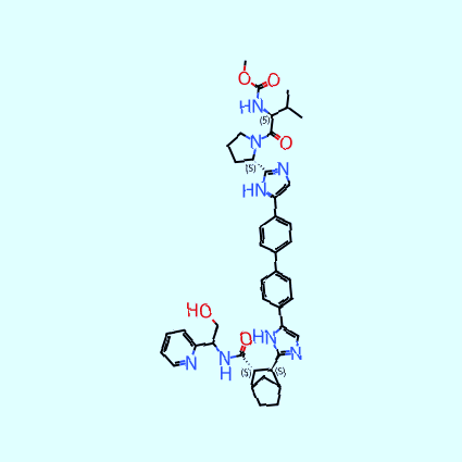 COC(=O)N[C@H](C(=O)N1CCC[C@H]1c1ncc(-c2ccc(-c3ccc(-c4cnc([C@H]5C6CCC(C6)[C@@H]5C(=O)NC(CO)c5ccccn5)[nH]4)cc3)cc2)[nH]1)C(C)C